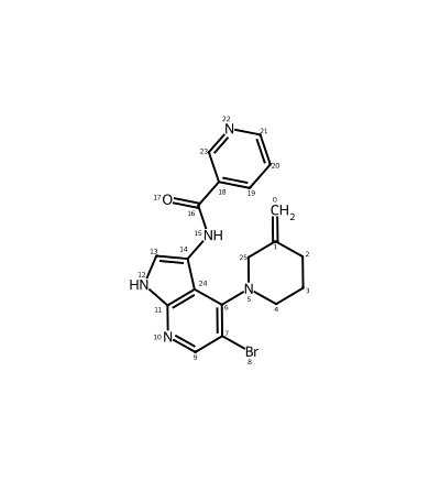 C=C1CCCN(c2c(Br)cnc3[nH]cc(NC(=O)c4cccnc4)c23)C1